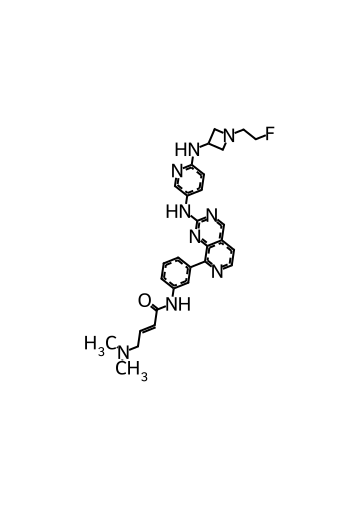 CN(C)C/C=C/C(=O)Nc1cccc(-c2nccc3cnc(Nc4ccc(NC5CN(CCF)C5)nc4)nc23)c1